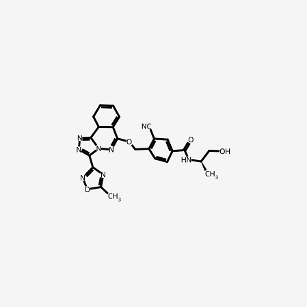 Cc1nc(-c2nnc3n2N=C(OCc2ccc(C(=O)N[C@H](C)CO)cc2C#N)C2=CC=CCC23)no1